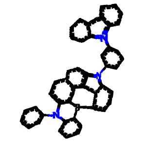 c1ccc(N2c3ccccc3B3c4c2ccc2ccc5c(c42)c2c3cccc2n5-c2cccc(-n3c4ccccc4c4ccccc43)c2)cc1